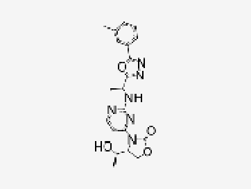 Cc1cccc(-c2nnc([C@H](C)Nc3nccc(N4C(=O)OCC4[C@@H](C)O)n3)o2)c1